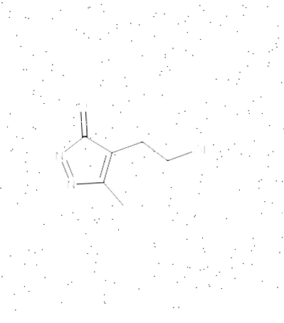 CC1=C(CCO)C(=O)N=N1